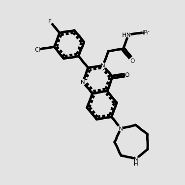 CC(C)NC(=O)Cn1c(-c2ccc(F)c(Cl)c2)nc2ccc(N3CCCNCC3)cc2c1=O